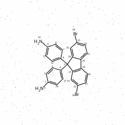 Nc1ccc(C2(c3ccc(N)cc3)c3cc(Br)ccc3-c3ccc(Br)cc32)cc1